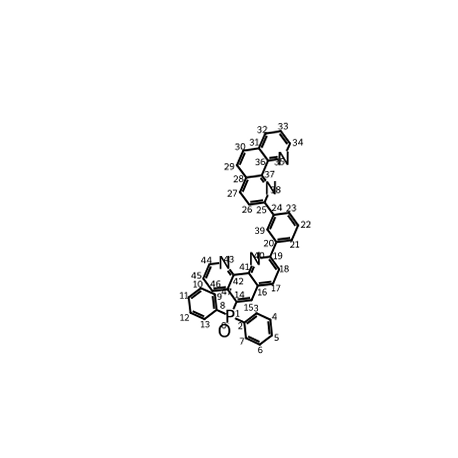 O=P(c1ccccc1)(c1ccccc1)c1cc2ccc(-c3cccc(-c4ccc5ccc6cccnc6c5n4)c3)nc2c2ncccc12